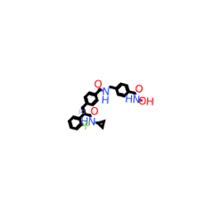 O=C(NC1CC1)/C(=C\c1ccc(C(=O)NCc2ccc(C(=O)NO)cc2)cc1)c1ccccc1F